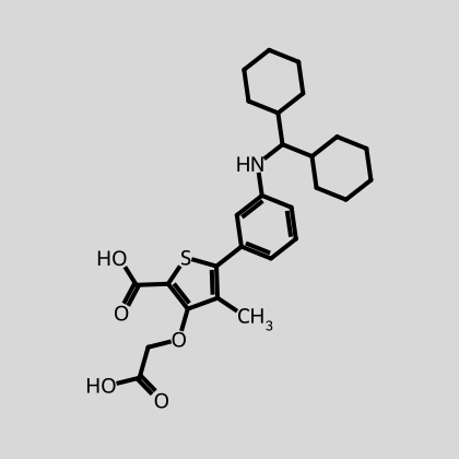 Cc1c(-c2cccc(NC(C3CCCCC3)C3CCCCC3)c2)sc(C(=O)O)c1OCC(=O)O